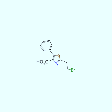 O=C(O)c1nc(CCBr)sc1-c1ccccc1